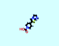 O=C(O)N1CCC(C2=CN3CCN=C3S2)CC1